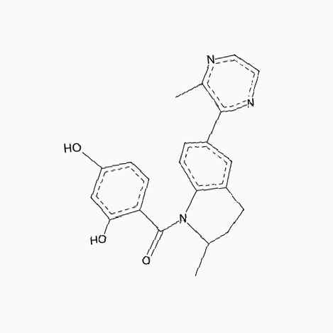 Cc1nccnc1-c1ccc2c(c1)CCC(C)N2C(=O)c1ccc(O)cc1O